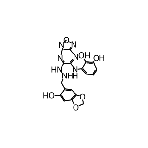 Oc1cc2c(cc1CNNc1nc3nonc3nc1Nc1cccc(O)c1O)OCO2